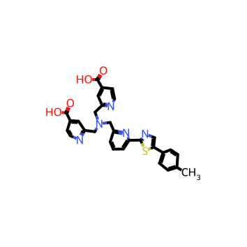 Cc1ccc(-c2cnc(-c3cccc(CN(Cc4cc(C(=O)O)ccn4)Cc4cc(C(=O)O)ccn4)n3)s2)cc1